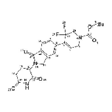 CC(C)(C)OC(=O)N1CC=C(c2ccc3c(c2)CN(C2CCC(=O)NC2=O)C3=O)C(F)(F)C1